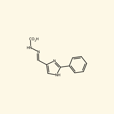 O=C(O)NN=Cc1c[nH]c(-c2ccccc2)n1